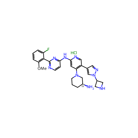 COc1cccc(F)c1-c1nccc(Nc2cc(N3CCC[C@H](N)C3)c(-c3cnn(C4CNC4)c3)cn2)n1.Cl